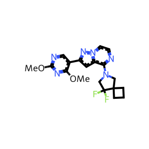 COc1ncc(-c2cc3c(N4CC(F)(F)C5(CCC5)C4)nccn3n2)c(OC)n1